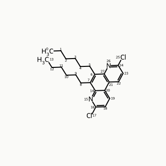 CCCCCCc1c(CCCCCC)c2nc(Cl)ccc2c2ccc(Cl)nc12